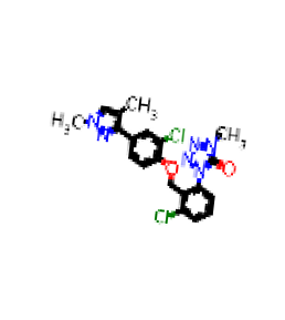 Cc1cn(C)nc1-c1ccc(OCc2c(Cl)cccc2-n2nnn(C)c2=O)c(Cl)c1